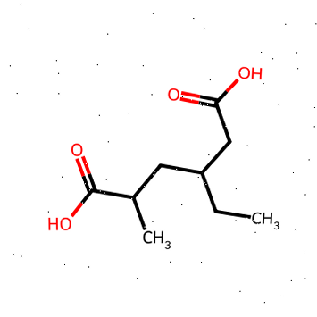 CCC(CC(=O)O)CC(C)C(=O)O